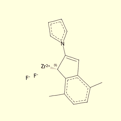 Cc1ccc(C)c2c1C=C(n1cccc1)[C@H]2[Zr+2].[F-].[F-]